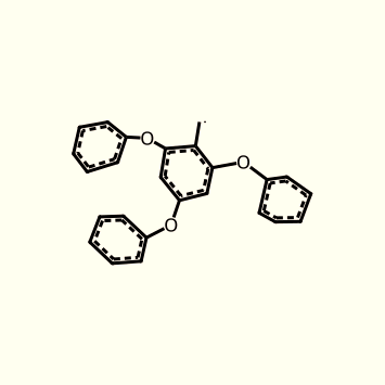 [CH2]c1c(Oc2ccccc2)cc(Oc2ccccc2)cc1Oc1ccccc1